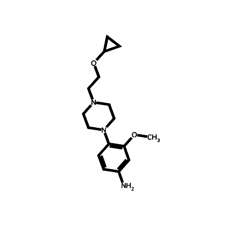 COc1cc(N)ccc1N1CCN(CCOC2CC2)CC1